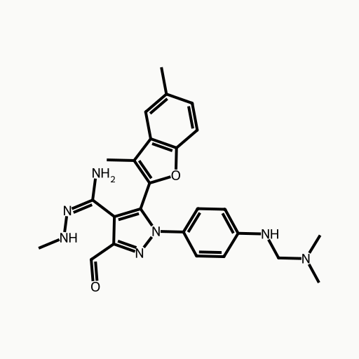 CN/N=C(/N)c1c(C=O)nn(-c2ccc(NCN(C)C)cc2)c1-c1oc2ccc(C)cc2c1C